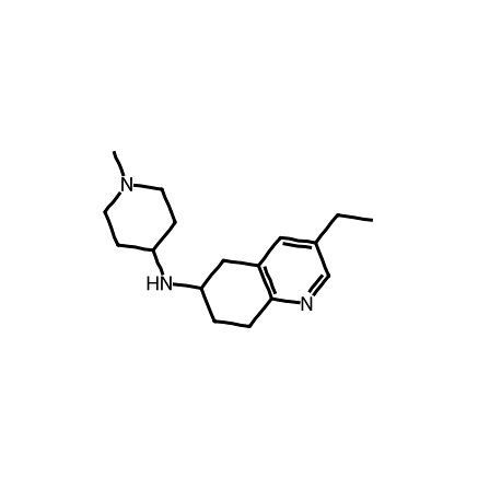 CCc1cnc2c(c1)CC(NC1CCN(C)CC1)CC2